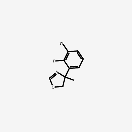 CC1(c2cccc(Cl)c2F)CO[C]=N1